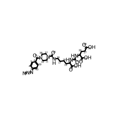 [N-]=[N+]=Nc1ccc(C(=O)N2CCN(C(=O)NCCCCC(NC(=O)NC(CCC(=O)O)C(=O)O)C(=O)O)CC2)cc1